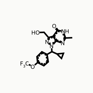 Cc1nc2c(c(CO)nn2C(c2ccc(OC(F)(F)F)cc2)C2CC2)c(=O)[nH]1